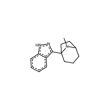 CN1C2CCCC1(c1n[nH]c3ccccc13)CC2